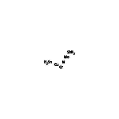 [Cr].[Cu].[Mo].[Ni].[SbH3].[SnH2]